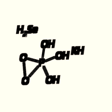 OP1(O)(O)OO1.[KH].[SeH2]